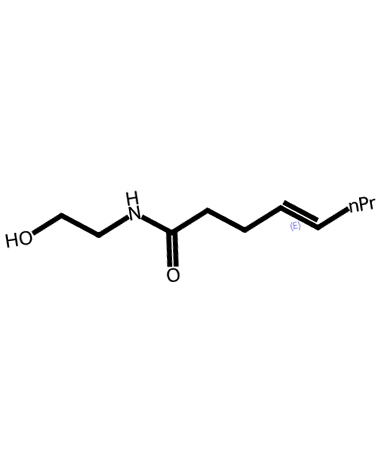 CCC/C=C/CCC(=O)NCCO